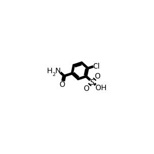 NC(=O)c1ccc(Cl)c(S(=O)(=O)O)c1